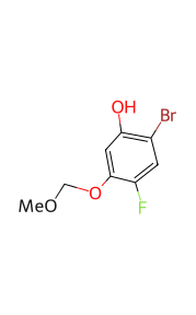 COCOc1cc(O)c(Br)cc1F